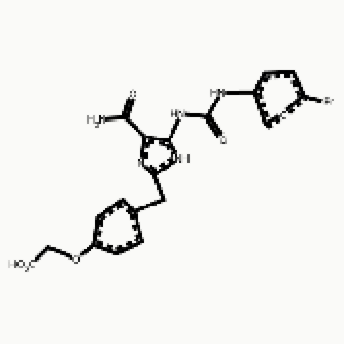 CC(C)c1ccc(NC(=O)Nc2[nH]c(Cc3ccc(OCC(=O)O)cc3)nc2C(N)=O)cc1